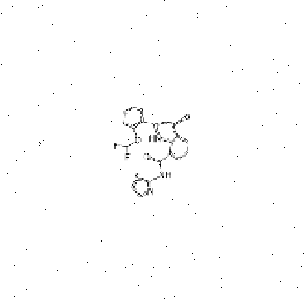 O=C(Nc1nccs1)c1cccc2c(=O)cc(-c3ccccc3OC(F)F)[nH]c12